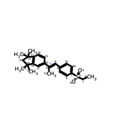 CCS(=O)(=O)c1ccc(/C=C(\C)c2ccc3c(c2)C(C)(C)CC3(C)C)cc1